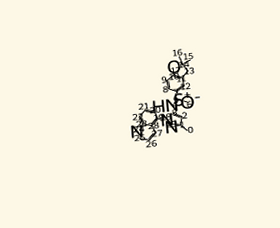 Cc1cc(N[S+]([O-])c2ccc3c(c2)CC(C)(C)O3)n(-c2cccc3ncccc23)n1